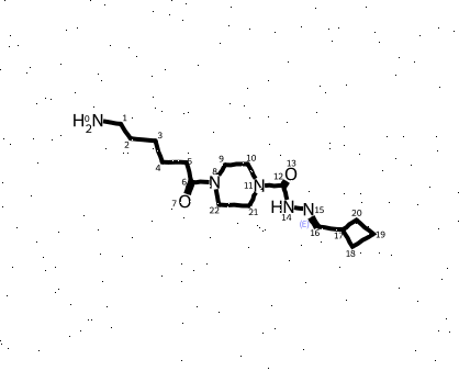 NCCCCCC(=O)N1CCN(C(=O)N/N=C/C2CCC2)CC1